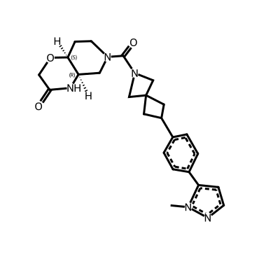 Cn1nccc1-c1ccc(C2CC3(C2)CN(C(=O)N2CC[C@@H]4OCC(=O)N[C@@H]4C2)C3)cc1